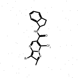 Cc1nn2c(C(F)(F)F)c(C(=O)NC3CCc4ccccc43)cnc2c1Br